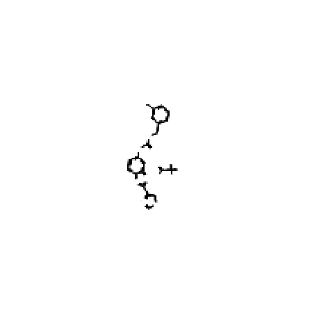 O=C(NCc1cccc(Cl)c1)Nc1ccc2[nH]c(-c3cscn3)[n+](OC(=O)C(F)(F)F)c2c1